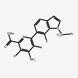 COC(=O)c1nc(-c2ccc3ccn([SiH2]C(C)C)c3c2F)c(F)c(N)c1Cl